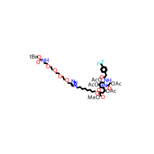 COC(=O)[C@@]1(OCCCCCCCCn2cc(COCCOCCOCCOCCNC(=O)OC(C)(C)C)nn2)C[C@H](OC(C)=O)[C@@H](NC(=O)COC(C)=O)[C@H]([C@H](OC(C)=O)[C@@H](CNC(=O)Cc2ccc(C(F)F)cc2)OC(C)=O)O1